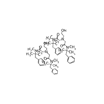 CN(C(=O)CN(CCO)CC(=O)N(C)C(C)(C)Cc1ccccc1)C(C)(C)Cc1ccccc1.CN(C(=O)CN(CCO)CC(=O)N(C)C(C)(C)Cc1ccccc1)C(C)(C)Cc1ccccc1